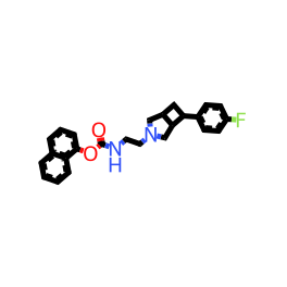 O=C(NCCN1CC2CC(c3ccc(F)cc3)C2C1)Oc1cccc2ccccc12